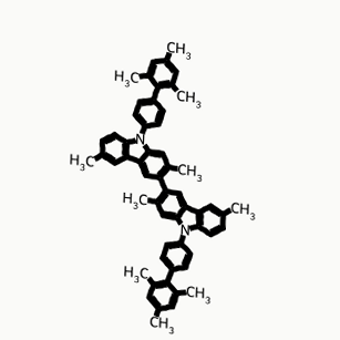 Cc1cc(C)c(-c2ccc(-n3c4ccc(C)cc4c4cc(-c5cc6c7cc(C)ccc7n(-c7ccc(-c8c(C)cc(C)cc8C)cc7)c6cc5C)c(C)cc43)cc2)c(C)c1